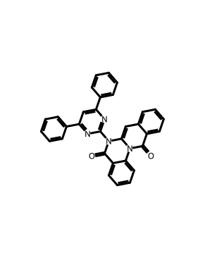 O=c1c2ccccc2n2c(=O)c3ccccc3cc2n1-c1nc(-c2ccccc2)cc(-c2ccccc2)n1